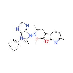 CB1c2oc3nc(C)ccc3c2C=C(C)N1N1c2nccnc2N(c2ccccc2)[C@@H]1C